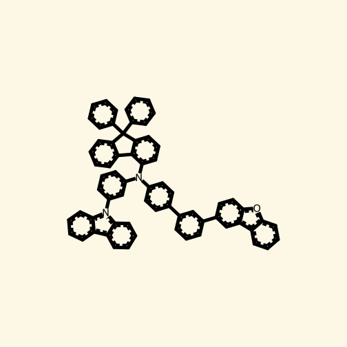 c1ccc(C2(c3ccccc3)c3ccccc3-c3c(N(c4ccc(-c5cccc(-c6ccc7oc8ccccc8c7c6)c5)cc4)c4cccc(-n5c6ccccc6c6ccccc65)c4)cccc32)cc1